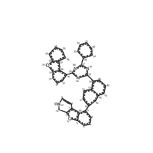 C1=Cc2c(oc3cccc(-c4ccc5c(-c6nc(-c7ccccc7)nc(-c7cccc8oc9ccccc9c78)n6)cccc5c4)c23)CN1